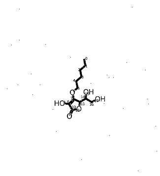 CCCCCCOC1=C(O)C(=O)OC1C(O)CO